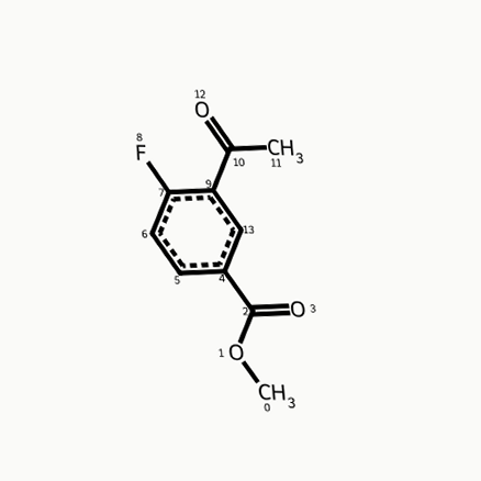 COC(=O)c1ccc(F)c(C(C)=O)c1